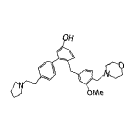 COc1cc(Cc2ccc(O)cc2-c2ccc(CCN3CCCC3)cc2)ccc1CN1CCOCC1